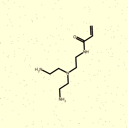 C=CC(=O)NCCN(CCN)CCN